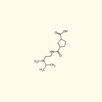 CC(C)N(C)CCNC(=O)C1CCC(C(=O)O)C1